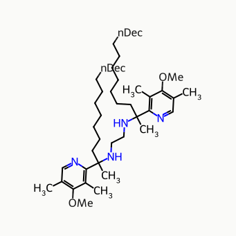 CCCCCCCCCCCCCCCCCC(C)(NCCNC(C)(CCCCCCCCCCCCCCCCC)c1ncc(C)c(OC)c1C)c1ncc(C)c(OC)c1C